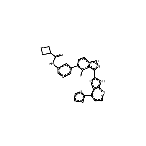 O=C(Nc1cncc(-c2ccc3[nH]nc(-c4nc5c(-c6cccs6)ccnc5[nH]4)c3c2F)c1)C1CCC1